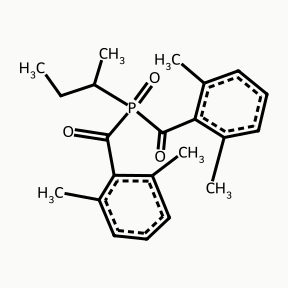 CCC(C)P(=O)(C(=O)c1c(C)cccc1C)C(=O)c1c(C)cccc1C